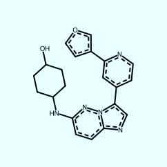 OC1CCC(Nc2ccc3ncc(-c4ccnc(-c5ccoc5)c4)n3n2)CC1